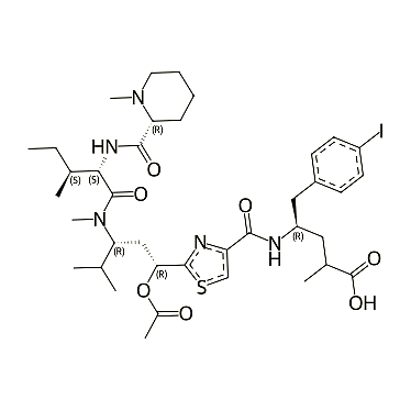 CC[C@H](C)[C@H](NC(=O)[C@H]1CCCCN1C)C(=O)N(C)[C@H](C[C@@H](OC(C)=O)c1nc(C(=O)N[C@@H](Cc2ccc(I)cc2)CC(C)C(=O)O)cs1)C(C)C